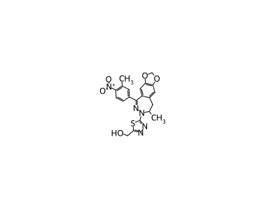 Cc1cc(C2=NN(c3nnc(CO)s3)C(C)Cc3cc4c(cc32)OCO4)ccc1[N+](=O)[O-]